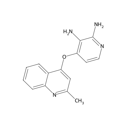 Cc1cc(Oc2ccnc(N)c2N)c2ccccc2n1